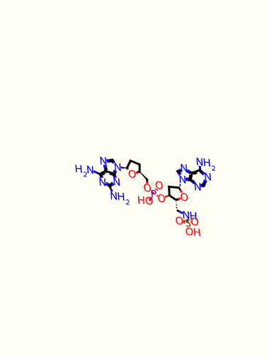 Nc1nc(N)c2ncn([C@H]3CC[C@@H](COP(=O)(O)O[C@H]4C[C@H](n5cnc6c(N)ncnc65)O[C@@H]4CNS(=O)(=O)O)O3)c2n1